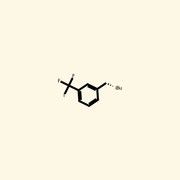 CC[C@@H](C)Cc1cccc(C(F)(F)I)c1